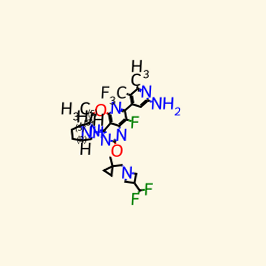 Cc1nc(N)cc(-c2nc3c4c(nc(OCC5(CN6CC(C(F)F)C6)CC5)nc4c2F)N2C[C@H]4CC[C@H](N4)[C@H]2[C@H](C)O3)c1C(F)(F)F